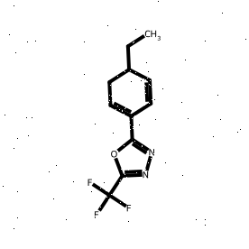 CCC1C=CC(c2nnc(C(F)(F)F)o2)=CC1